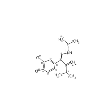 C=C(C(C)C)[C@H](CNC(C)C)c1ccc(Cl)c(Cl)c1